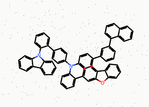 c1cc(-c2ccc(N(c3ccc(-c4ccccc4-n4c5ccccc5c5ccccc54)cc3)c3ccccc3-c3ccc4c(c3)oc3ccccc34)cc2)cc(-c2cccc3ccccc23)c1